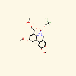 CC(=O)OCCC1=C[C@H](OC(C)=O)[C@@H](C)[C@H]2c3cc4c(cc3CN(C(=O)OCC(Cl)(Cl)Cl)[C@H]12)OCO4